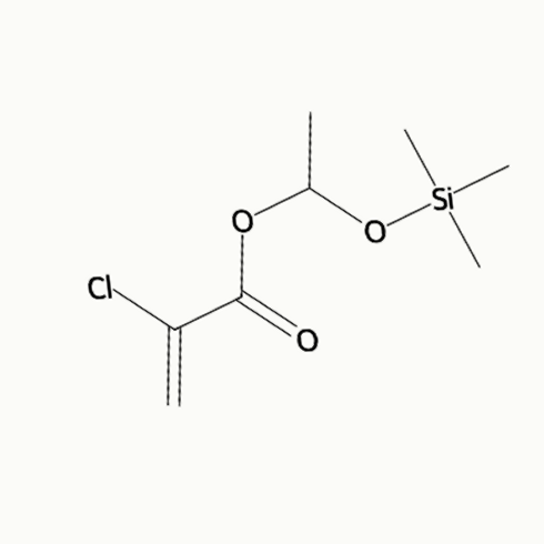 C=C(Cl)C(=O)OC(C)O[Si](C)(C)C